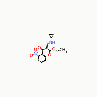 CCOC(=O)C(=CNC1CC1)C(=O)c1ccccc1[N+](=O)[O-]